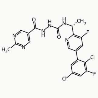 Cc1ncc(C(=O)NNC(=O)N[C@H](C)c2ncc(-c3cc(Cl)cc(F)c3Cl)cc2F)cn1